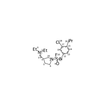 CCN(CC)SC1CCN(S(=O)(F)=Nc2ccc(C(C)C)c(Cl)c2)C1